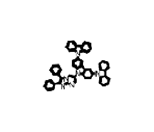 c1ccc(-c2nc3ncc(-n4c5ccc(-n6c7ccccc7c7ccccc76)cc5c5cc(-n6c7ccccc7c7ccccc76)ccc54)cn3c2-c2ccccc2)cc1